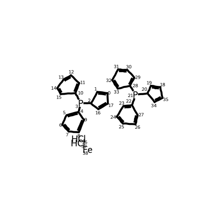 C1=CC(P(c2ccccc2)c2ccccc2)C=C1.C1=CC(P(c2ccccc2)c2ccccc2)C=C1.Cl.Cl.[Fe]